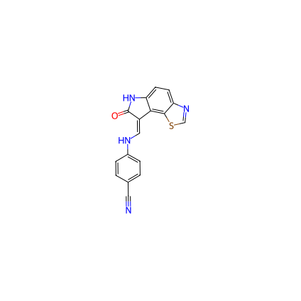 N#Cc1ccc(N/C=C2\C(=O)Nc3ccc4ncsc4c32)cc1